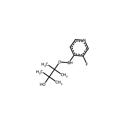 CC(C)(O)C(C)(C)OBc1ccncc1F